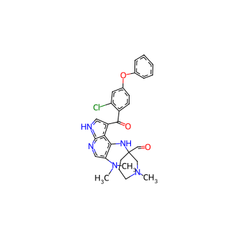 CN1CCCC(C=O)(Nc2c(N(C)C)cnc3[nH]cc(C(=O)c4ccc(Oc5ccccc5)cc4Cl)c23)C1